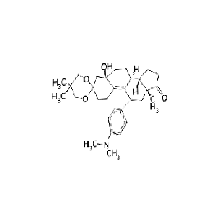 CN(C)c1ccc([C@H]2C[C@@]3(C)C(=O)CC[C@H]3[C@@H]3CC[C@@]4(O)CC5(CCC4=C32)OCC(C)(C)CO5)cc1